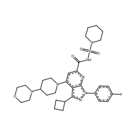 O=C(NS(=O)(=O)N1CCCCC1)c1cc(N2CCC(N3CCOCC3)CC2)c2c(C3CCC3)nn(-c3ccc(F)cc3)c2n1